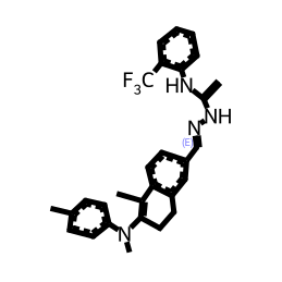 C=C(N/N=C/c1ccc2c(c1)CCC(N(C)c1ccc(C)cc1)=C2C)Nc1ccccc1C(F)(F)F